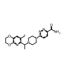 CC(c1nc2c(cc1F)OCCO2)N1CCN(c2ccc(C(N)=O)nn2)CC1